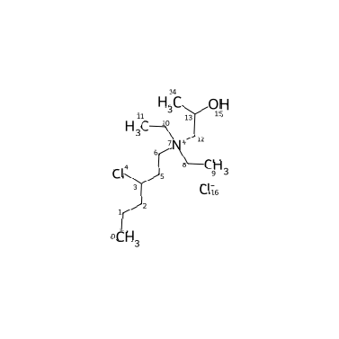 CCCC(Cl)CC[N+](CC)(CC)CC(C)O.[Cl-]